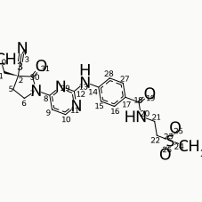 CC[C@]1(C#N)CCN(c2ccnc(Nc3ccc(C(=O)NCCS(C)(=O)=O)cc3)n2)C1=O